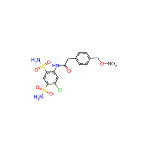 NS(=O)(=O)c1cc(S(N)(=O)=O)c(NC(=O)Cc2ccc(CO[N+](=O)[O-])cc2)cc1Cl